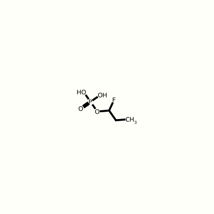 CCC(F)OP(=O)(O)O